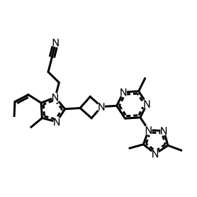 C/C=C\c1c(C)nc(C2CN(c3cc(-n4nc(C)nc4C)nc(C)n3)C2)n1CCC#N